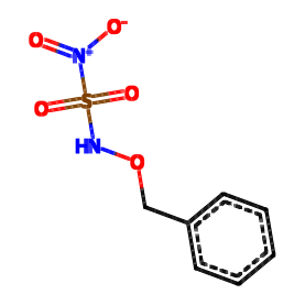 O=[N+]([O-])S(=O)(=O)NOCc1ccccc1